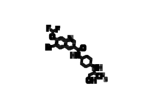 O=C(NC1CCC(NC(CO)C(F)(F)F)CC1)c1cnc2cc(OC(F)F)c(Br)cc2c1